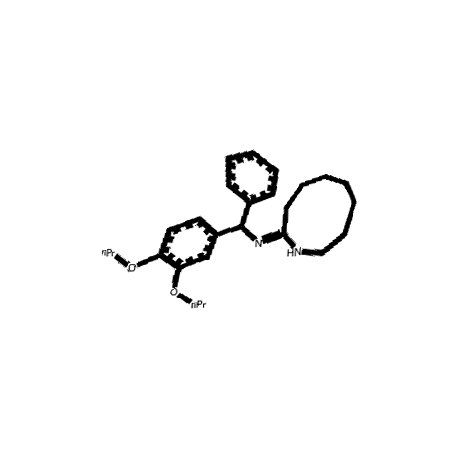 CCCOc1ccc(C(N=C2CCCCCCCN2)c2ccccc2)cc1OCCC